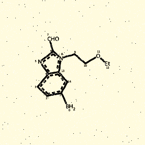 Bc1ccc2nc(C=O)n(CCOCC)c2c1